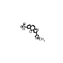 CN1CC(c2cnc3ccc4ccc(C[SH](=O)=O)cc4c(=O)c3c2)C=N1